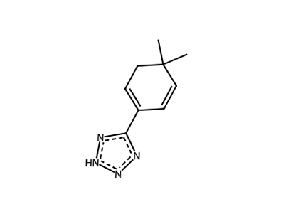 CC1(C)C=CC(c2nn[nH]n2)=CC1